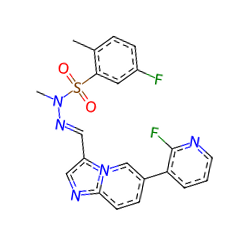 Cc1ccc(F)cc1S(=O)(=O)N(C)N=Cc1cnc2ccc(-c3cccnc3F)cn12